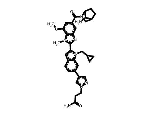 COc1cc(C(=O)N2CC3CCC2C3N)cc2nc(-c3cc4ccc(-c5cnn(CCC(N)=O)c5)cc4n3CC3CC3)n(C)c12